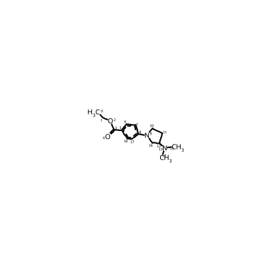 CCOC(=O)c1ccc(N2CCC(N(C)C)C2)cc1